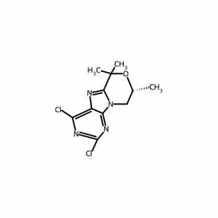 C[C@@H]1Cn2c(nc3c(Cl)nc(Cl)nc32)C(C)(C)O1